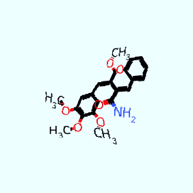 COC(=O)C(=C/c1cc(OC)c(OC)c(OC)c1)/C(=C\c1ccccc1)C(N)=O